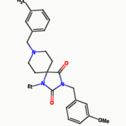 CCN1C(=O)N(Cc2cccc(OC)c2)C(=O)C12CCN(Cc1cccc(C)c1)CC2